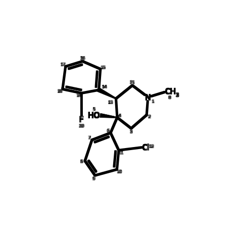 CN1CC[C@](O)(c2ccccc2Cl)[C@@H](c2ccccc2F)C1